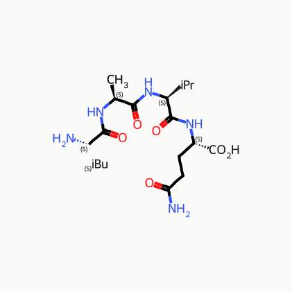 CC[C@H](C)[C@H](N)C(=O)N[C@@H](C)C(=O)N[C@H](C(=O)N[C@@H](CCC(N)=O)C(=O)O)C(C)C